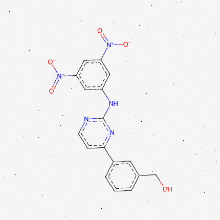 O=[N+]([O-])c1cc(Nc2nccc(-c3cccc(CO)c3)n2)cc([N+](=O)[O-])c1